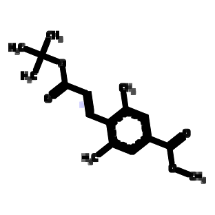 COC(=O)c1cc(C)c(/C=C/C(=O)OC(C)(C)C)c(C)c1